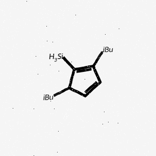 CCC(C)C1=C([SiH3])C(C(C)CC)C=C1